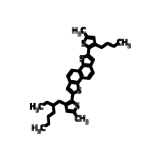 CCCCc1cc(C)sc1-c1cc2ccc3c(ccc4cc(-c5sc(C)cc5CC(CC)CCCC)sc43)c2s1